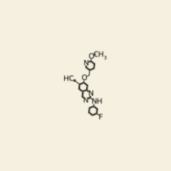 C#Cc1cc2cnc(Nc3cccc(F)c3)nc2cc1OCc1ccc(OC)nc1